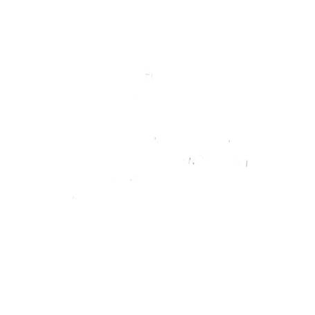 O=C(O)CO/N=C/c1ccc(OCc2ccc(Br)cc2)cc1OCc1ccc(Br)cc1